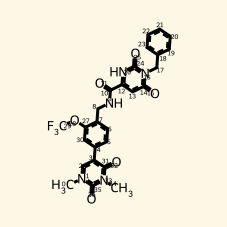 Cn1cc(-c2ccc(CNC(=O)c3cc(=O)n(Cc4ccccc4)c(=O)[nH]3)c(OC(F)(F)F)c2)c(=O)n(C)c1=O